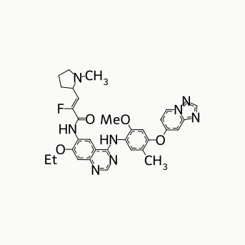 CCOc1cc2ncnc(Nc3cc(C)c(Oc4ccn5ncnc5c4)cc3OC)c2cc1NC(=O)/C(F)=C/C1CCCN1C